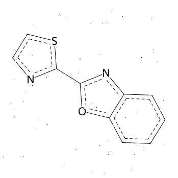 c1ccc2oc(-c3nccs3)nc2c1